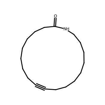 O=C1CCCCCCCC#CCCCCCCCCN1